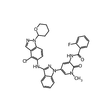 Cn1cc(-n2nc(Nc3ccc4c(cnn4C4CCCCO4)c3Cl)c3ccccc32)cc(NC(=O)c2ccccc2F)c1=O